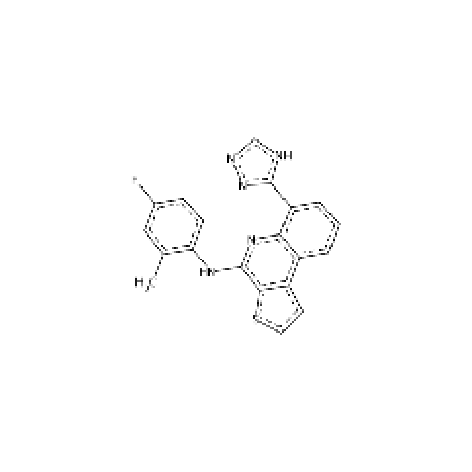 Cc1cc(F)ccc1Nc1nc2c(-c3nnc[nH]3)cccc2c2ccsc12